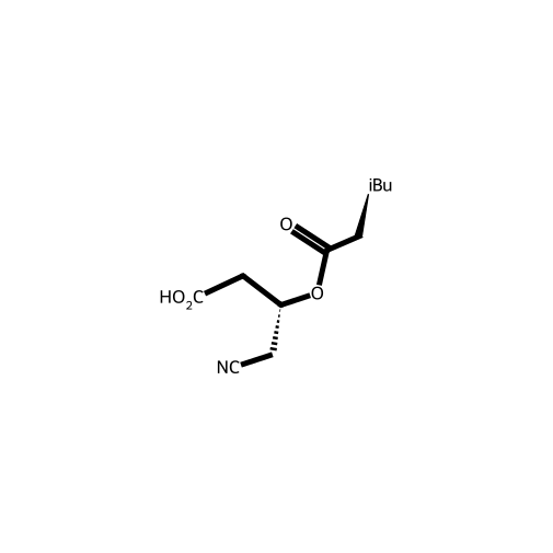 CC[C@H](C)CC(=O)O[C@H](CC#N)CC(=O)O